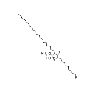 CCCCCCCCCCCCCCCCCCCCC(C(F)C(F)CCCCCCCCCF)S(=O)(=O)O.N